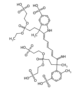 CCOP(=O)(CCC1(C)/C(=C/C=C/C=C/C(=N)C(C)(CCP(=O)(OCCS(=O)(=O)O)OCCS(=O)(=O)O)c2cc(S(=O)(=O)O)ccc2C)Nc2ccc(S(=O)(=O)O)cc21)OCCS(=O)(=O)O